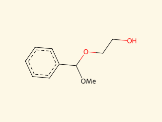 COC(OCCO)c1ccccc1